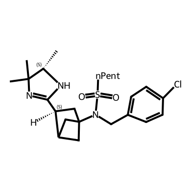 CCCCCS(=O)(=O)N(Cc1ccc(Cl)cc1)C12CC(C1)[C@@H](C1=NC(C)(C)[C@H](C)N1)C2